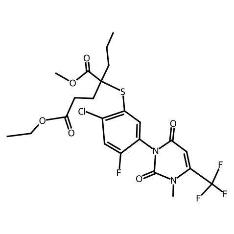 CCCC(CCC(=O)OCC)(Sc1cc(-n2c(=O)cc(C(F)(F)F)n(C)c2=O)c(F)cc1Cl)C(=O)OC